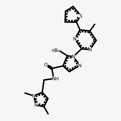 CCCCc1c(C(=O)NCc2cc(C)nn2C)cnn1-c1ncc(C)c(-c2cccs2)n1